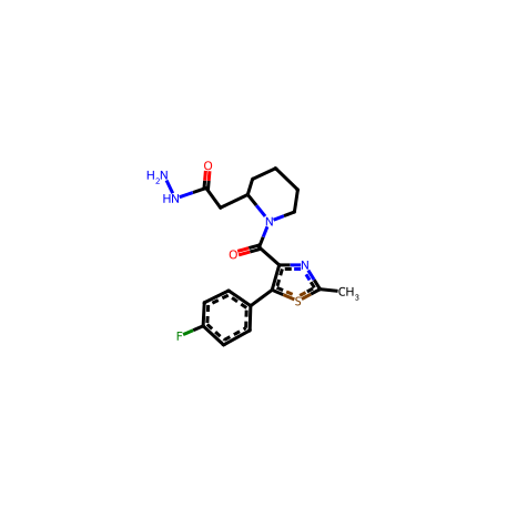 Cc1nc(C(=O)N2CCCCC2CC(=O)NN)c(-c2ccc(F)cc2)s1